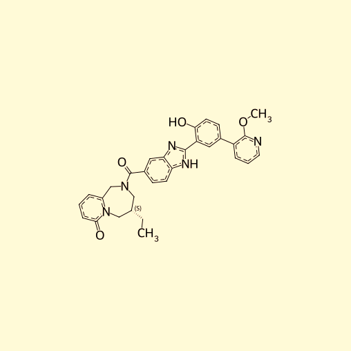 CC[C@H]1CN(C(=O)c2ccc3[nH]c(-c4cc(-c5cccnc5OC)ccc4O)nc3c2)Cc2cccc(=O)n2C1